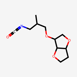 CC(CN=C=O)COC1COC2CCOC21